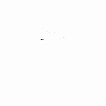 OC[C@H]1O[C@H](c2cccc(-c3ccc4c(c3)OCO4)c2)[C@@H](O)[C@@H](O)[C@@H]1O